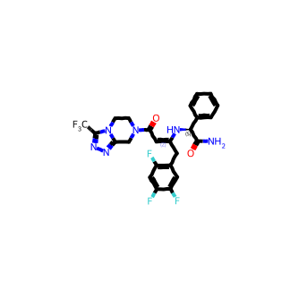 NC(=O)[C@@H](N/C(=C\C(=O)N1CCn2c(nnc2C(F)(F)F)C1)Cc1cc(F)c(F)cc1F)c1ccccc1